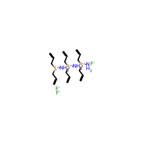 C=CC[S+](N)CC=C.C=CC[S+](N)CC=C.C=CC[S+](N)CC=C.[F-].[F-].[F-]